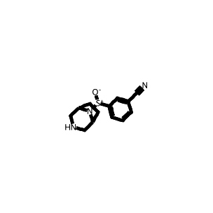 N#Cc1cccc([S+]([O-])N2C3CCC2CNC3)c1